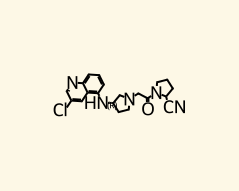 N#CC1CCCN1C(=O)CN1CC[C@@H](Nc2cccc3ncc(Cl)cc23)C1